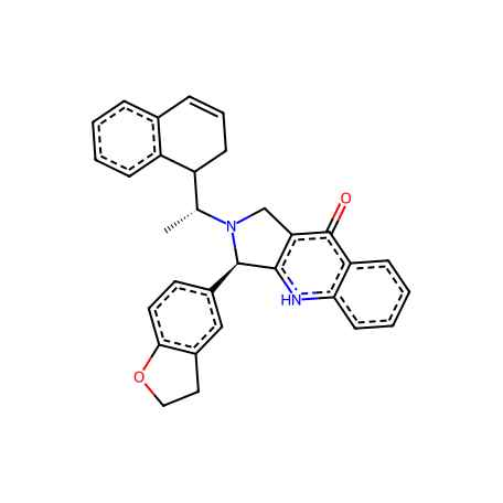 C[C@H](C1CC=Cc2ccccc21)N1Cc2c([nH]c3ccccc3c2=O)[C@H]1c1ccc2c(c1)CCO2